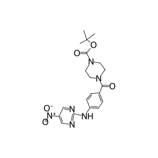 CC(C)(C)OC(=O)N1CCN(C(=O)c2ccc(Nc3ncc([N+](=O)[O-])cn3)cc2)CC1